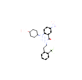 O=C(NCCc1ccccc1C(F)(F)F)c1cc([N+](=O)[O-])ccc1NC1CCC(O)CC1